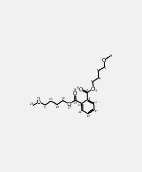 COCCCCOC(=O)c1ccccc1C(=O)OCCCCOC